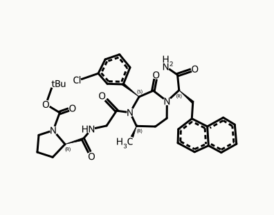 C[C@@H]1CCN([C@H](Cc2cccc3ccccc23)C(N)=O)C(=O)[C@H](c2cccc(Cl)c2)N1C(=O)CNC(=O)[C@H]1CCCN1C(=O)OC(C)(C)C